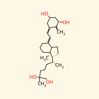 C=C1/C(=C\C=C2CCC[C@@]3(C)C2CC[C@@H]3[C@H](C)CCCC(C)(O)CO)C[C@@H](O)C[C@H]1O